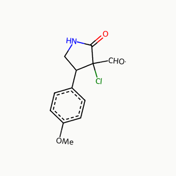 COc1ccc(C2CNC(=O)C2(Cl)[C]=O)cc1